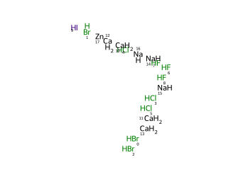 Br.Br.Br.Cl.Cl.Cl.F.F.F.I.[CaH2].[CaH2].[CaH2].[CaH2].[NaH].[NaH].[NaH].[Zn]